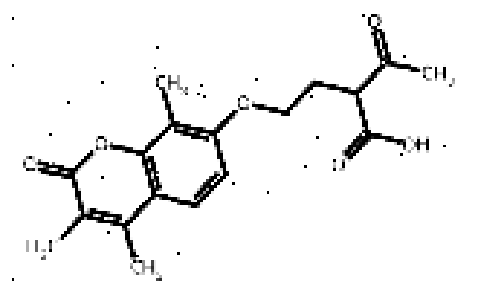 CC(=O)C(CCOc1ccc2c(C)c(C)c(=O)oc2c1C)C(=O)O